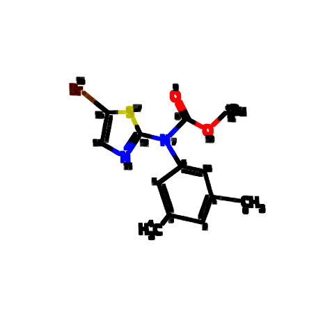 Cc1cc(C)cc(N(C(=O)OC(C)(C)C)c2ncc(Br)s2)c1